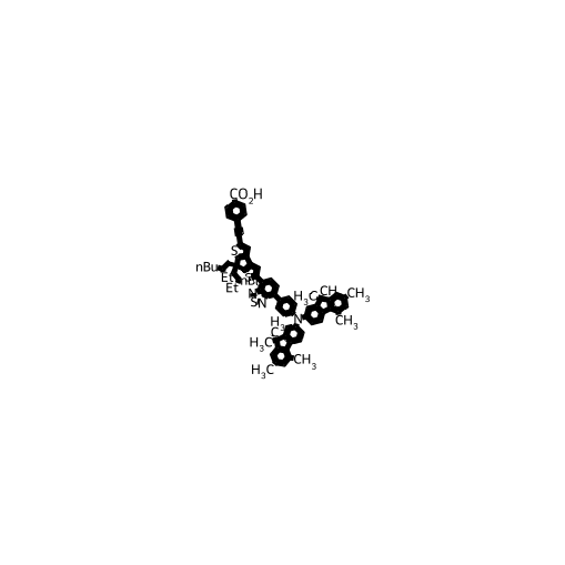 CCCCC(CC)CC1(CC(CC)CCCC)c2sc(C#Cc3ccc(C(=O)O)cc3)cc2-c2cc(-c3ccc(-c4ccc(N(c5ccc6c(c5)C(C)(C)c5cc(C)cc(C)c5-6)c5ccc6c(c5)C(C)(C)c5cc(C)cc(C)c5-6)cc4)c4nsnc34)sc21